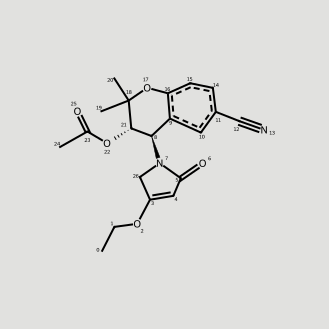 CCOC1=CC(=O)N([C@@H]2c3cc(C#N)ccc3OC(C)(C)[C@H]2OC(C)=O)C1